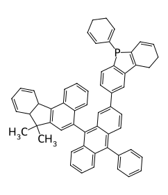 CC1(C)c2cc(-c3c4ccccc4c(-c4ccccc4)c4ccc(-c5ccc6c(c5)c5c(p6C6=CCCC=C6)C=CCC5)cc34)c3ccccc3c2C2C=CC=CC21